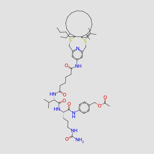 CCCCC12SCc3cc(NC(=O)CCCCC(=O)N[C@H](C(=O)N[C@@H](CCCNC(N)=O)C(=O)Nc4ccc(COC(C)=O)cc4)C(C)C)cc(n3)CSC1(C=C(C)C)C(C)CCCCCCCCCCC2CC